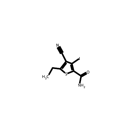 CCc1sc(C(N)=O)c(I)c1C#N